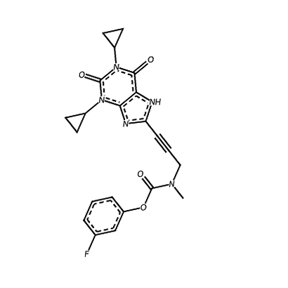 CN(CC#Cc1nc2c([nH]1)c(=O)n(C1CC1)c(=O)n2C1CC1)C(=O)Oc1cccc(F)c1